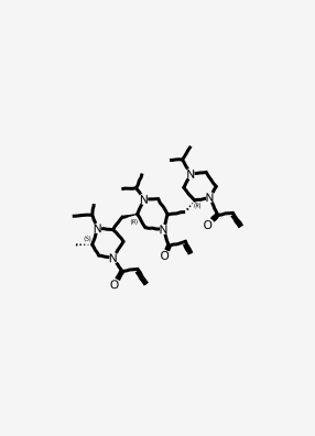 C=CC(=O)N1CC(C[C@@H]2CN(C(=O)C=C)C(C[C@@H]3CN(C(C)C)CCN3C(=O)C=C)CN2C(C)C)N(C(C)C)[C@@H](C)C1